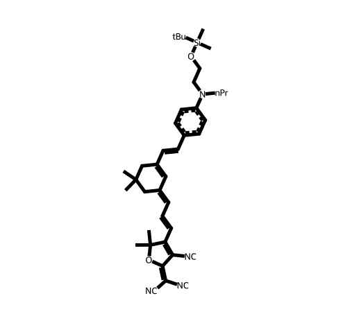 [C-]#[N+]C1=C(/C=C/C=C2C=C(/C=C/c3ccc(N(CCC)CCO[Si](C)(C)C(C)(C)C)cc3)CC(C)(C)C/2)C(C)(C)O/C1=C(\C#N)[N+]#[C-]